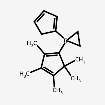 CC1=C(C)C(C)(C)[C]([Ti]2([C]3=CC=CC3)[CH2][CH2]2)=C1C